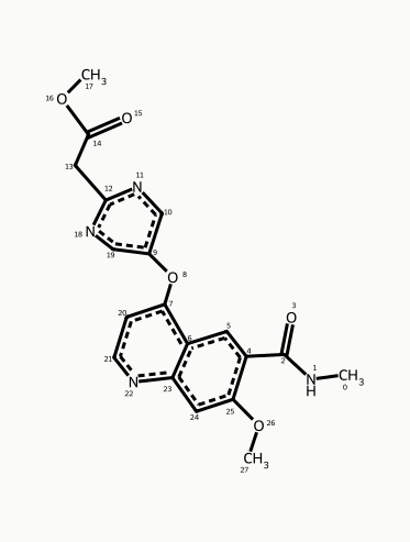 CNC(=O)c1cc2c(Oc3cnc(CC(=O)OC)nc3)ccnc2cc1OC